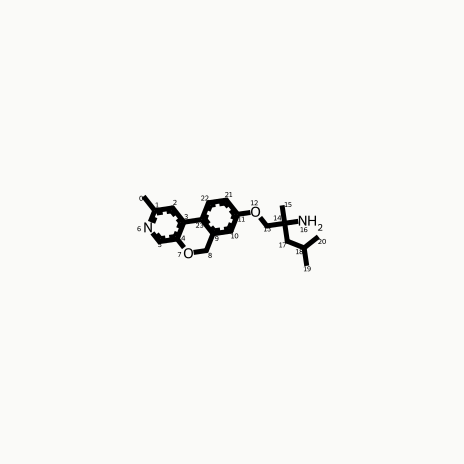 Cc1cc2c(cn1)OCc1cc(OCC(C)(N)CC(C)C)ccc1-2